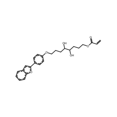 C=CC(=O)OCCCC(O)C(O)CCCOc1ccc(-c2cc3ccccc3o2)cc1